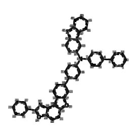 c1ccc(-c2ccc(N(c3ccc(-c4ccc5c(c4)oc4ccc6oc(-c7ccccc7)nc6c45)cc3)c3ccc4sc5ccccc5c4c3)cc2)cc1